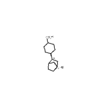 O=C(O)C1CCC([C@H]2C[C@H]3CCC2C3)CC1